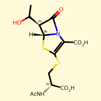 CC(=O)N[C@H](CSC1=C(C(=O)O)N2C(=O)[C@H](C(C)O)[C@H]2S1)C(=O)O